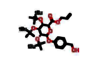 C=CCOC(=O)[C@H]1O[C@@H](Oc2ccc(CO)cc2)[C@H](O[Si](C)(C)C(C)(C)C)[C@@H](O[Si](C)(C)C(C)(C)C)[C@H]1O[Si](C)(C)C(C)(C)C